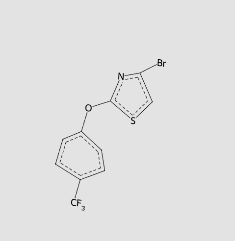 FC(F)(F)c1ccc(Oc2nc(Br)cs2)cc1